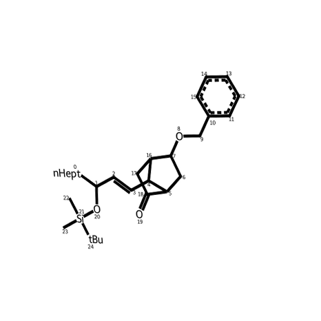 CCCCCCCC(C=CC1C2CC(OCc3ccccc3)C1CC2=O)O[Si](C)(C)C(C)(C)C